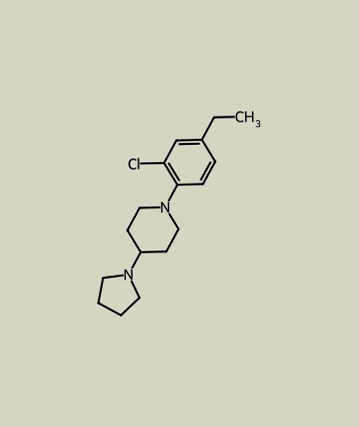 CCc1ccc(N2CCC(N3CCCC3)CC2)c(Cl)c1